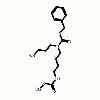 CC(C)(C)OC(=O)NCCCCN(CCCN)C(=O)OCc1ccccc1